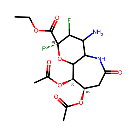 CCOC(=O)[C@]1(F)OC2C(NC(=O)C[C@@H](OC(C)=O)[C@H]2OC(C)=O)C(N)C1F